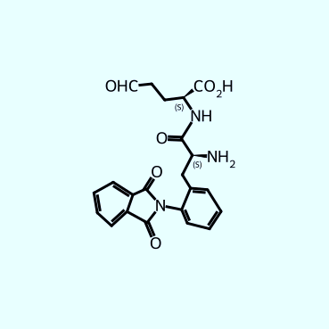 N[C@@H](Cc1ccccc1N1C(=O)c2ccccc2C1=O)C(=O)N[C@@H](CCC=O)C(=O)O